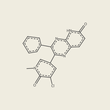 Cn1cc(-c2nc3ccc(=O)[nH]c3nc2-c2ccccc2)cc(Cl)c1=O